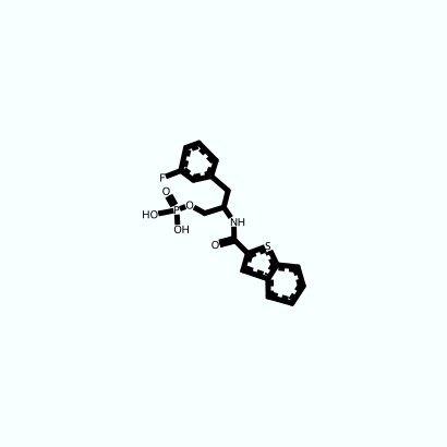 O=C(NC(COP(=O)(O)O)Cc1cccc(F)c1)c1cc2ccccc2s1